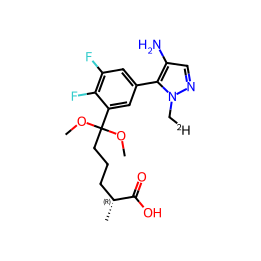 [2H]Cn1ncc(N)c1-c1cc(F)c(F)c(C(CCC[C@@H](C)C(=O)O)(OC)OC)c1